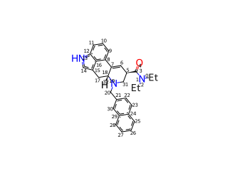 CCN(CC)C(=O)[C@@H]1C=C2c3cccc4[nH]cc(c34)C[C@H]2N(Cc2ccc3ccccc3c2)C1